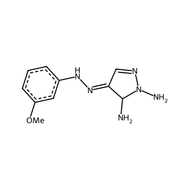 COc1cccc(NN=C2C=NN(N)C2N)c1